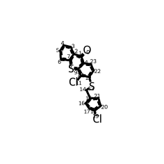 O=c1c2ccccc2sc2c(Cl)c(SCc3ccc(Cl)cc3)ccc12